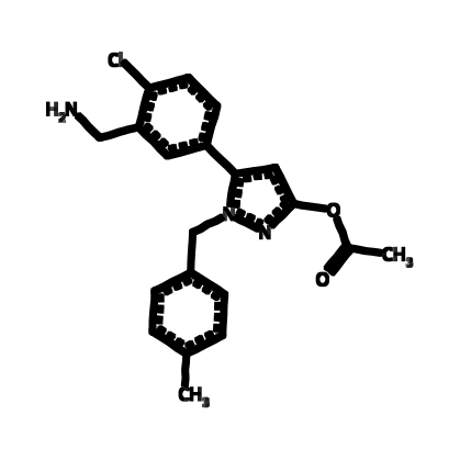 CC(=O)Oc1cc(-c2ccc(Cl)c(CN)c2)n(Cc2ccc(C)cc2)n1